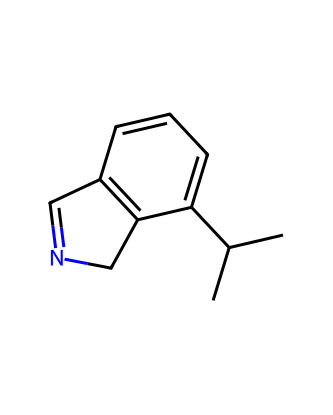 CC(C)c1cccc2c1CN=C2